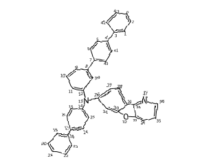 c1ccc(-c2ccc(-c3cccc(N(c4ccc(-c5ccccc5)cc4)c4ccc5c(c4)oc4cccnc45)c3)cc2)cc1